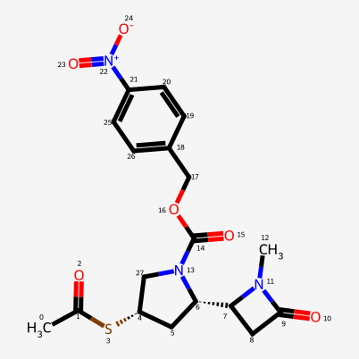 CC(=O)S[C@H]1C[C@@H](C2CC(=O)N2C)N(C(=O)OCc2ccc([N+](=O)[O-])cc2)C1